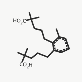 Cc1cccc(CCCC(C)(C)C(=O)O)c1CCCC(C)(C)C(=O)O